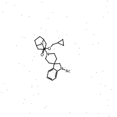 CC(=O)N1CC2(CCN(C3CC4CCC(C3)N4C(=O)OCC3CC3)CC2)c2ccccc21